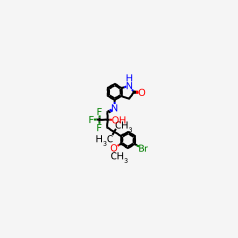 COc1cc(Br)ccc1C(C)(C)CC(O)(C=Nc1cccc2c1CC(=O)N2)C(F)(F)F